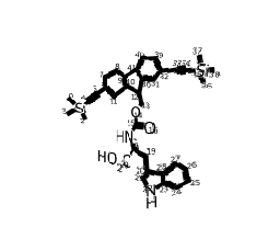 C[Si](C)(C)C#Cc1ccc2c(c1)C(COC(=O)N[C@@H](Cc1c[nH]c3ccccc13)C(=O)O)c1cc(C#C[Si](C)(C)C)ccc1-2